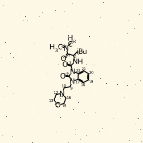 CCC(C)C(NC(=O)n1c(=O)n(CCN2CCOCC2)c2ccccc21)C(=O)N(C)C